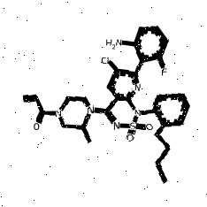 C=CC(=O)N1CCN(C2=NS(=O)(=O)N(c3ccccc3CCCC)c3nc(-c4c(N)cccc4F)c(Cl)cc32)C(C)C1